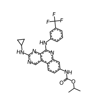 CC(C)OC(=O)Nc1ccc2c(c1)nc(Nc1cccc(C(F)(F)F)c1)c1nc(NC3CC3)ncc12